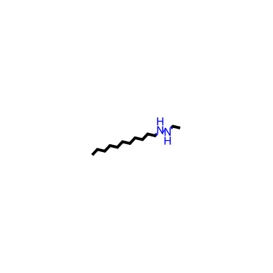 CCCCCCCCCCCNNCC